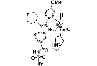 COc1ccc2c(c1)[C@@H]1C[C@]1(C(=O)C1CC34CCC3(CNC4)C1)Cn1c-2c(C2CCCCC2)c2ccc(C(=O)NS(=O)(=O)C(C)C)cc21